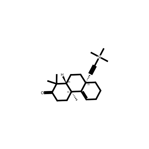 CC1(C)C(=O)CC[C@]2(C)C3=CCCC[C@]3(C#C[Si](C)(C)C)CC[C@@H]12